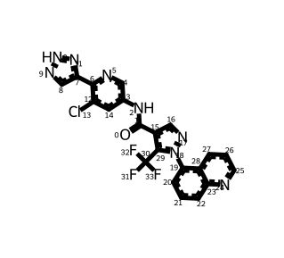 O=C(Nc1cnc(-c2cn[nH]n2)c(Cl)c1)c1cnn(-c2cccc3ncccc23)c1C(F)(F)F